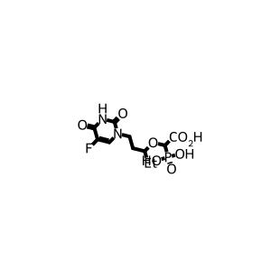 CCC(CCn1cc(F)c(=O)[nH]c1=O)OC(C(=O)O)P(=O)(O)O